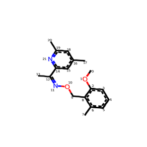 COc1cccc(C)c1CON=C(C)c1cc(C)cc(C)n1